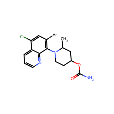 CC(=O)c1cc(Cl)c2cccnc2c1N1CCC(OC(N)=O)CC1C